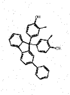 Cc1cc(C2(c3ccc(O)c(C)c3)c3ccccc3-c3ccc(-c4ccccc4)cc32)ccc1O